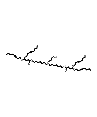 CCCCC#CCCOC(CCC(=O)OCCCCCCCN(CCCO)CCCCCCCOC(=O)CCC(OCCC#CCCCC)OCCC#CCCCC)OCCC#CCCCC